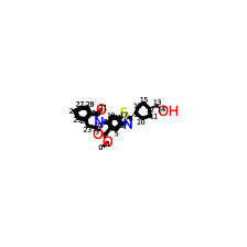 COC(=O)c1cc2nc([C@H]3CC[C@H](CO)CC3)sc2cc1N1CCc2ccccc2C1=O